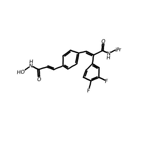 CC(C)NC(=O)C(=Cc1ccc(C=CC(=O)NO)cc1)c1ccc(F)c(F)c1